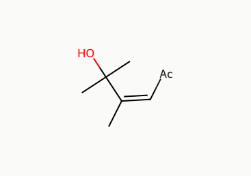 CC(=O)C=C(C)C(C)(C)O